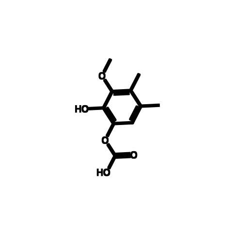 COc1c(C)c(C)cc(OC(=O)O)c1O